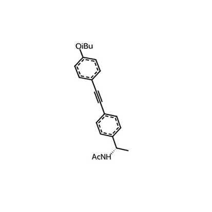 CC(=O)N[C@@H](C)c1ccc(C#Cc2ccc(OCC(C)C)cc2)cc1